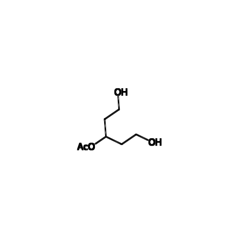 CC(=O)OC(CCO)CCO